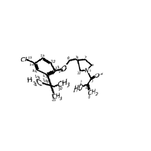 C=C(O)C(=O)N1CCC(COc2ccc(Cl)cc2C(C)(C)C)C1